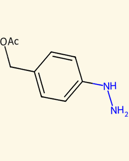 CC(=O)OCc1ccc(NN)cc1